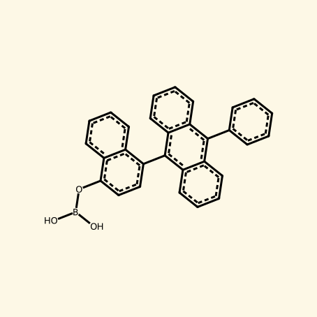 OB(O)Oc1ccc(-c2c3ccccc3c(-c3ccccc3)c3ccccc23)c2ccccc12